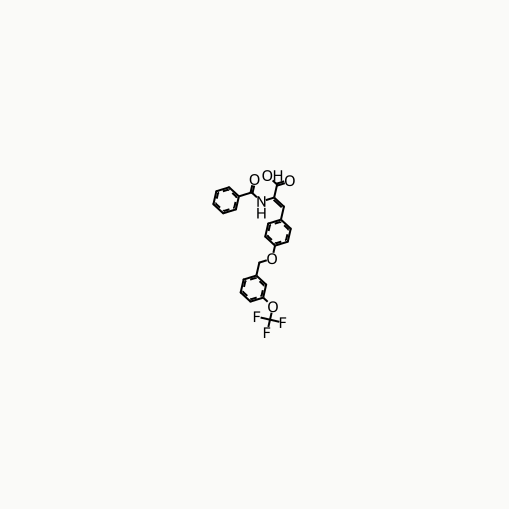 O=C(O)/C(=C/c1ccc(OCc2cccc(OC(F)(F)F)c2)cc1)NC(=O)c1ccccc1